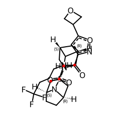 O=C(NC1C[C@H]2CC[C@@H](C1)N2S(=O)(=O)N1C[C@H]2C[C@@H](C1)C2NCCCC(F)(F)F)c1cc(C2COC2)on1